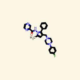 Cc1cc(CN2CCN(c3ccc(F)cc3)CC2)c(-c2ccccc2)n1NC(=O)c1cnccn1